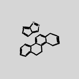 C1=CC2=CN=NC2=C1.C1=CCc2c(ccc3c2CCc2ccccc2-3)C1